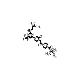 CC(C)CCNc1nc(N2CCN(CC(=O)N3CCN(C(=O)OC(C)(C)C)CC3)C(=O)C2)cc(C(F)(F)F)n1